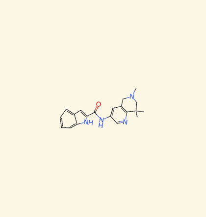 CN1Cc2cc(NC(=O)c3cc4ccccc4[nH]3)cnc2C(C)(C)C1